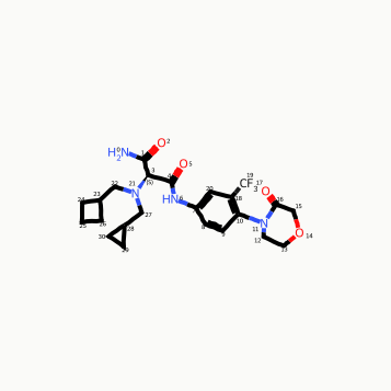 NC(=O)[C@@H](C(=O)Nc1ccc(N2CCOCC2=O)c(C(F)(F)F)c1)N(CC1CCC1)CC1CC1